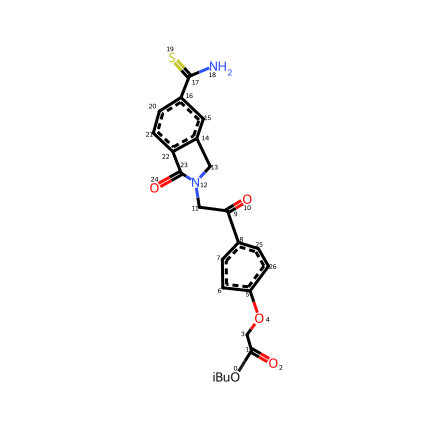 CC(C)COC(=O)COc1ccc(C(=O)CN2Cc3cc(C(N)=S)ccc3C2=O)cc1